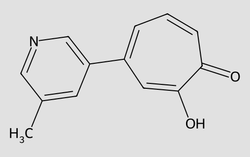 Cc1cncc(-c2cccc(=O)c(O)c2)c1